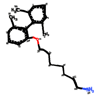 Cc1cccc(C)c1-c1c(C)cccc1OCCCCCCCN